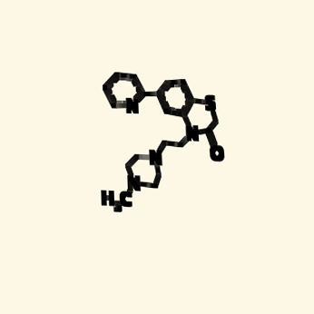 CN1CCN(CCN2C(=O)CSc3ccc(-c4ccccn4)cc32)CC1